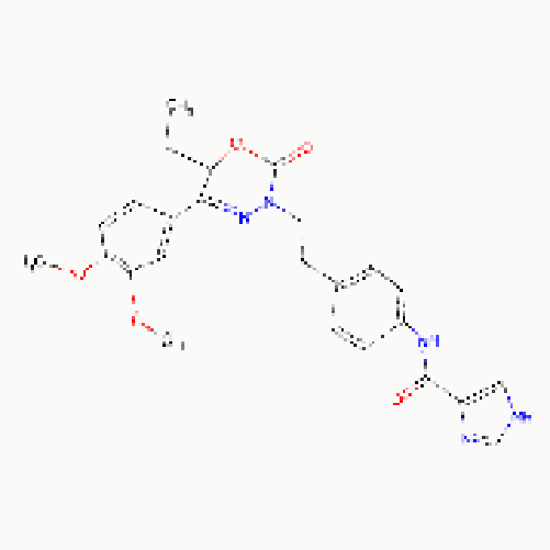 CCC1OC(=O)N(CCc2ccc(NC(=O)c3c[nH]cn3)cc2)N=C1c1ccc(OC)c(OC)c1